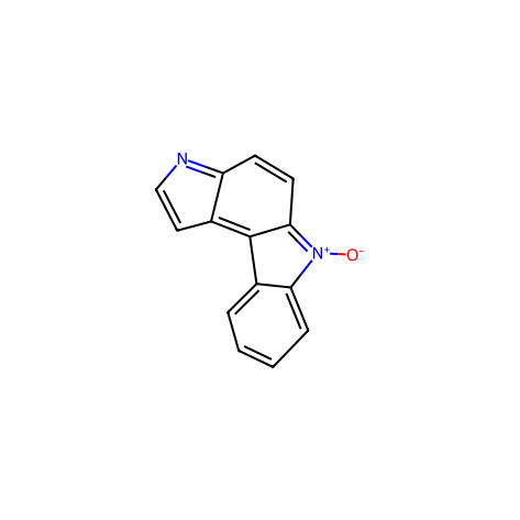 [O-][N+]1=c2ccc3c(c2-c2ccccc21)C=CN=3